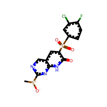 C[S+]([O-])c1ncc2cc(S(=O)(=O)c3ccc(F)c(Cl)c3)c(=O)[nH]c2n1